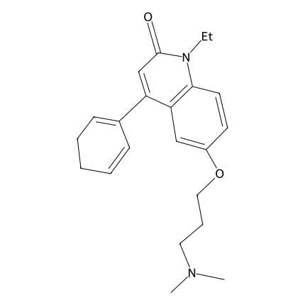 CCn1c(=O)cc(C2=CCCC=C2)c2cc(OCCCN(C)C)ccc21